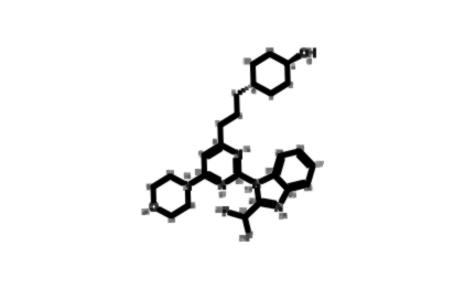 O[C@H]1CC[C@H](CCCc2cc(N3CCOCC3)nc(-n3c(C(F)F)nc4ccccc43)n2)CC1